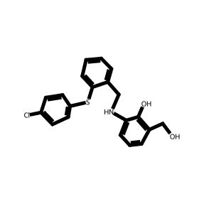 OCc1cccc(NCc2ccccc2Sc2ccc(Cl)cc2)c1O